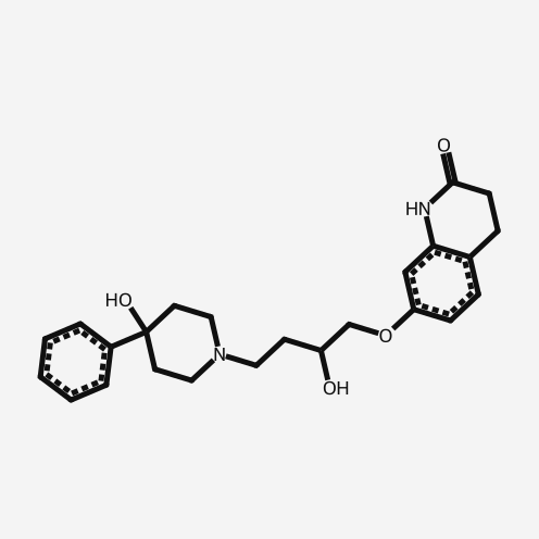 O=C1CCc2ccc(OCC(O)CCN3CCC(O)(c4ccccc4)CC3)cc2N1